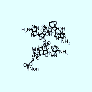 CCCCCCCCCC(=O)OCCSP(=O)(O)OC[C@H]1O[C@@H](n2cnc3c(N)ncnc32)C(OP(=O)(O)OC[C@H]2O[C@@H](n3cnc4c(N)ncnc43)C(OP(=O)(O)OC[C@]34CCCOC3C(O)[C@H](n3cnc5c(N)ncnc53)O4)C2O)C1OC